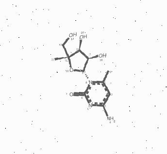 Cc1cc(N)nc(=O)n1[C@@H]1O[C@](C)(CO)[C@@H](O)[C@H]1O